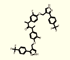 CC(C(=O)C(C)c1ccc(OCc2c[nH]nc2-c2ccc(C(F)(F)F)cc2)c(F)c1)c1ccc(OCc2c[nH]nc2-c2ccc(C(F)(F)F)cc2)c(F)c1